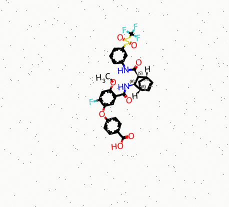 COc1cc(F)c(Oc2ccc(C(=O)O)cc2)cc1C(=O)N[C@H]1[C@@H](C(=O)Nc2cccc(S(=O)(=O)C(F)(F)F)c2)[C@@H]2C=C[C@H]1C2